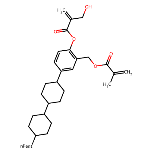 C=C(C)C(=O)OCc1cc(C2CCC(C3CCC(CCCCC)CC3)CC2)ccc1OC(=O)C(=C)CO